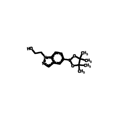 CC1(C)OB(c2ccc3c(cnn3CCO)c2)OC1(C)C